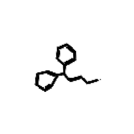 [CH2]CC=CC(c1ccccc1)c1ccccc1